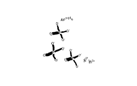 O=P([O-])([O-])[O-].O=P([O-])([O-])[O-].O=P([O-])([O-])[O-].[Al+3].[AsH6+3].[In+3]